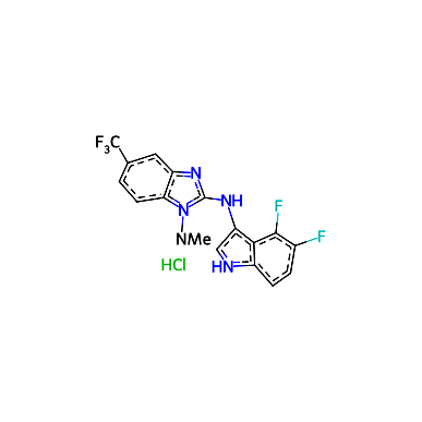 CNn1c(Nc2c[nH]c3ccc(F)c(F)c23)nc2cc(C(F)(F)F)ccc21.Cl